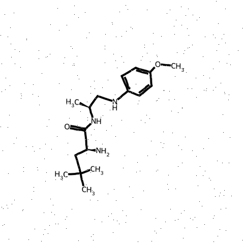 COc1ccc(NC[C@H](C)NC(=O)[C@@H](N)CC(C)(C)C)cc1